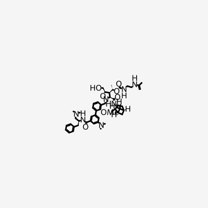 C=C(C)NCCNC(=O)O[C@@H](C)[C@@H]1[C@H](CO)ON(Cc2cccc(-c3cc(C(=O)N[C@@H](Cc4ccccc4)CN(C)C)cc(N(C)C)c3)c2OC)[C@@H]1C(=O)N[C@H]1C[C@H]2C[C@@H]([C@@H]1C)C2(C)C